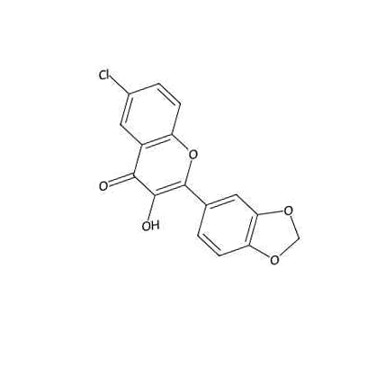 O=c1c(O)c(-c2ccc3c(c2)OCO3)oc2ccc(Cl)cc12